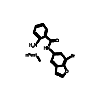 CCCCCC.Nc1ccccc1C(=O)Nc1cc(Br)c2occc2c1